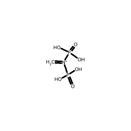 C=[N+](P(=O)(O)O)P(=O)(O)O